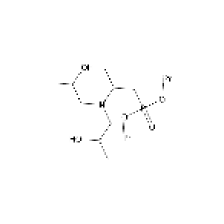 CC(O)CN(CC(C)O)C(C)CP(=O)(OC(C)C)OC(C)C